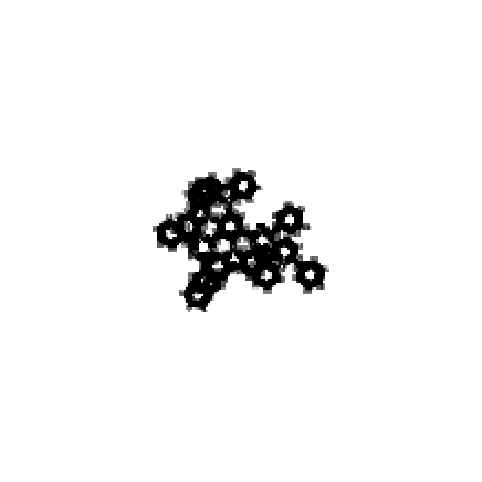 c1ccc(-c2ccc3c(c2)c2ccc(-c4cccc(-c5ccccc5)n4)cc2n3-c2c(-c3nc(-c4ccccc4)nc(-c4ccccc4)n3)cc(-n3c4ccccc4c4ccccc43)c(-n3c4ccccc4c4ccccc43)c2-c2nc(-c3ccccc3)nc(-c3ccccc3)n2)cc1